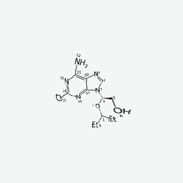 CCC(CC)O[C@H](CO)n1cnc2c(N)nc(Cl)nc21